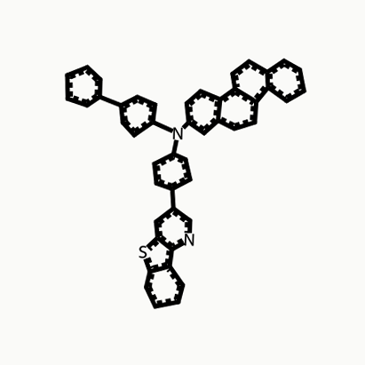 c1ccc(-c2ccc(N(c3ccc(-c4cnc5c(c4)sc4ccccc45)cc3)c3ccc4c(ccc5c6ccccc6ccc45)c3)cc2)cc1